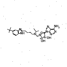 CC(C)N(CCCCc1nc2cc(C(C)(C)C)ccc2[nH]1)C[C@H]1O[C@@H](n2cnc3c(N)ncnc32)[C@H](O)[C@@H]1O